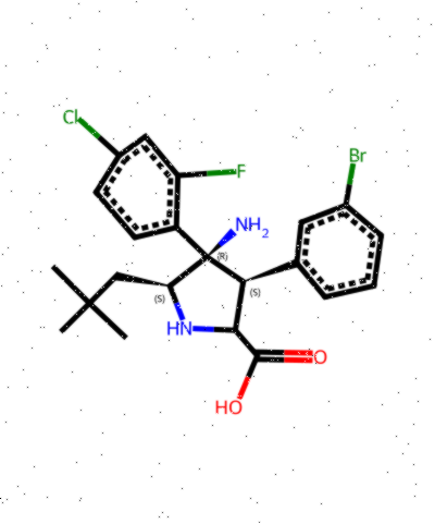 CC(C)(C)C[C@@H]1NC(C(=O)O)[C@H](c2cccc(Br)c2)[C@@]1(N)c1ccc(Cl)cc1F